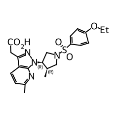 CCOc1ccc(S(=O)(=O)N2C[C@@H](C)[C@@H](n3nc(CC(=O)O)c4ccc(C)nc43)C2)cc1